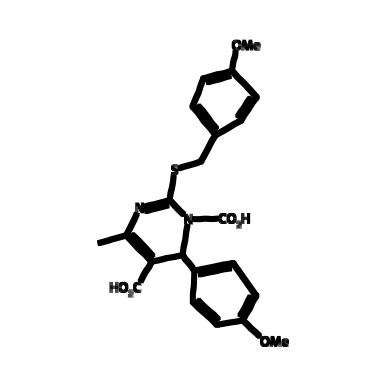 COc1ccc(CSC2=NC(C)=C(C(=O)O)C(c3ccc(OC)cc3)N2C(=O)O)cc1